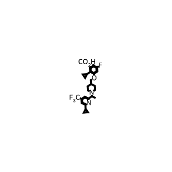 CC(c1cc(C(F)(F)F)cc(C2CC2)n1)N1CCC(COc2cc(F)c(C(=O)O)cc2C2CC2)CC1